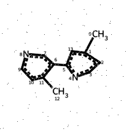 Cc1ccnc(-c2cnccc2C)c1